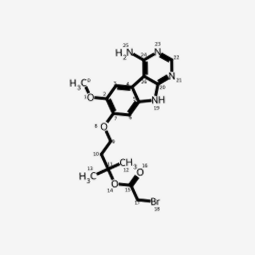 COc1cc2c(cc1OCCC(C)(C)OC(=O)CBr)[nH]c1ncnc(N)c12